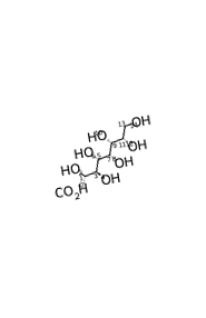 O=C(O)[C@H](O)[C@H](O)[C@H](O)[C@@H](O)[C@H](O)[C@@H](O)CO